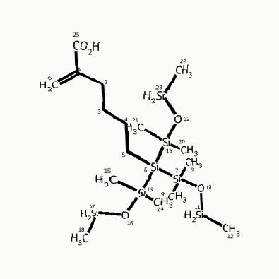 C=C(CCCC[Si]([Si](C)(C)O[SiH2]C)([Si](C)(C)O[SiH2]C)[Si](C)(C)O[SiH2]C)C(=O)O